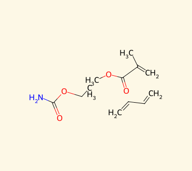 C=C(C)C(=O)OC.C=CC=C.CCOC(N)=O